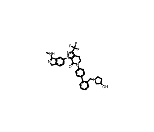 CNC1=NCc2ccc(-n3nc(C(F)(F)F)c4c3C(=O)N(c3ccc(-c5ccccc5CN5CCC(O)C5)cc3)CC4)cc21